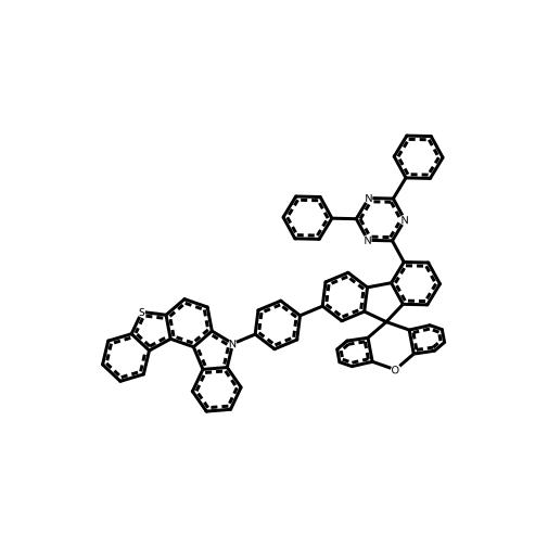 c1ccc(-c2nc(-c3ccccc3)nc(-c3cccc4c3-c3ccc(-c5ccc(-n6c7ccccc7c7c8c(ccc76)sc6ccccc68)cc5)cc3C43c4ccccc4Oc4ccccc43)n2)cc1